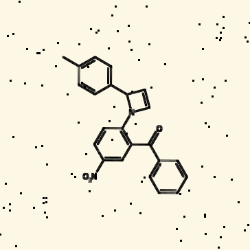 Cc1ccc(C2C=CN2c2ccc([N+](=O)[O-])cc2C(=O)c2ccccc2)cc1